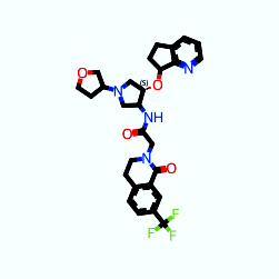 O=C(CN1CCc2ccc(C(F)(F)F)cc2C1=O)NC1CN(C2CCOC2)C[C@@H]1OC1CCc2cccnc21